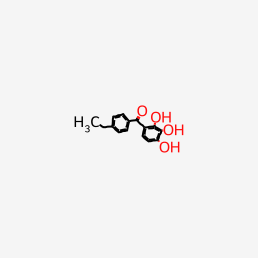 CCc1ccc(C(=O)c2ccc(O)c(O)c2O)cc1